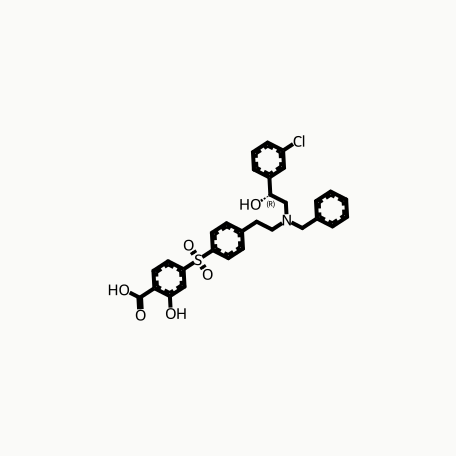 O=C(O)c1ccc(S(=O)(=O)c2ccc(CCN(Cc3ccccc3)C[C@H](O)c3cccc(Cl)c3)cc2)cc1O